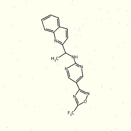 CC(Nc1ncc(-c2noc(C(F)(F)F)n2)cn1)c1ccc2ccccc2n1